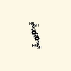 O=S(=O)(c1ccc(SCCC(S)S)cc1)c1ccc(SCCC(S)S)cc1